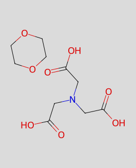 C1COCCO1.O=C(O)CN(CC(=O)O)CC(=O)O